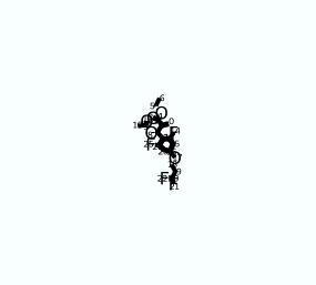 C=C(C(=O)OCC)[C@@H](OC(C)=O)c1c(F)cc(OCCC(F)F)cc1F